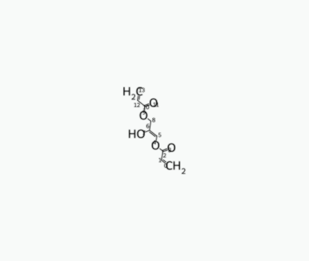 C=CC(=O)OC=C(O)COC(=O)C=C